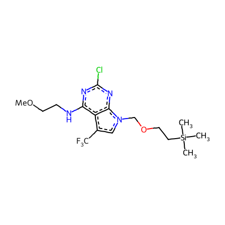 COCCNc1nc(Cl)nc2c1c(C(F)(F)F)cn2COCC[Si](C)(C)C